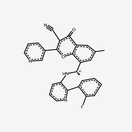 Cc1cc([C@@H](C)Nc2cccnc2-c2ccccc2F)c2oc(-c3cccnc3)c(C#N)c(=O)c2c1